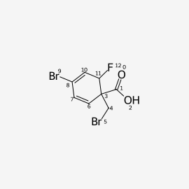 O=C(O)C1(CBr)C=CC(Br)=CC1F